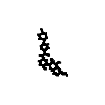 CN1CCN(c2ccc(C(=O)Nc3ccc(Cl)c(N4Cc5cnc(N)nc5N(C)C4=O)c3)cc2)CC1